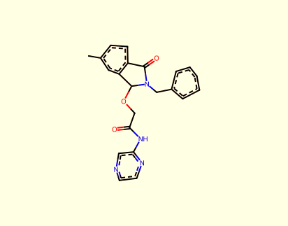 Cc1ccc2c(c1)C(OCC(=O)Nc1cnccn1)N(Cc1ccccc1)C2=O